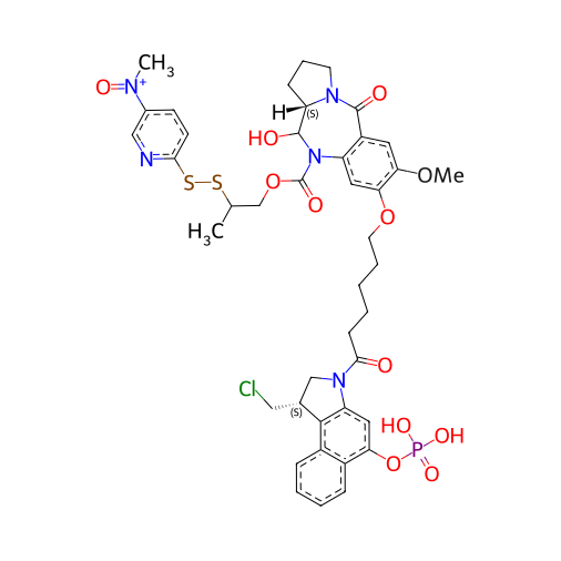 COc1cc2c(cc1OCCCCCC(=O)N1C[C@@H](CCl)c3c1cc(OP(=O)(O)O)c1ccccc31)N(C(=O)OCC(C)SSc1ccc([N+](C)=O)cn1)C(O)[C@@H]1CCCN1C2=O